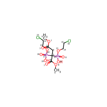 COC(=O)CC(C(=O)OC)(P(=O)(O)OCCCl)P(=O)(O)OCCCl